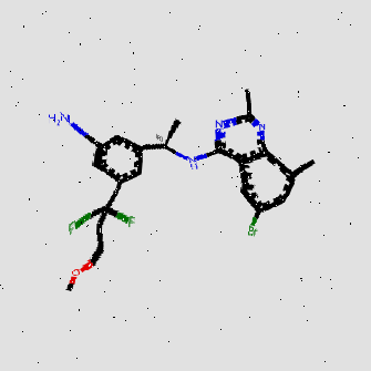 COCC(F)(F)c1cc(N)cc([C@@H](C)Nc2nc(C)nc3c(C)cc(Br)cc23)c1